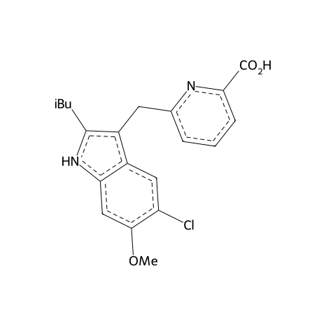 CCC(C)c1[nH]c2cc(OC)c(Cl)cc2c1Cc1cccc(C(=O)O)n1